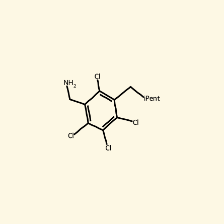 CCCC(C)Cc1c(Cl)c(Cl)c(Cl)c(CN)c1Cl